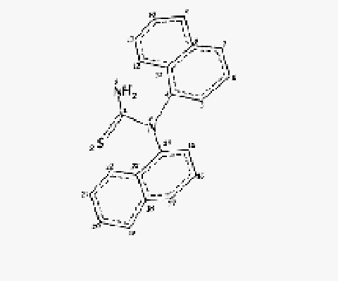 NC(=S)N(c1cccc2ccccc12)c1cccc2ccccc12